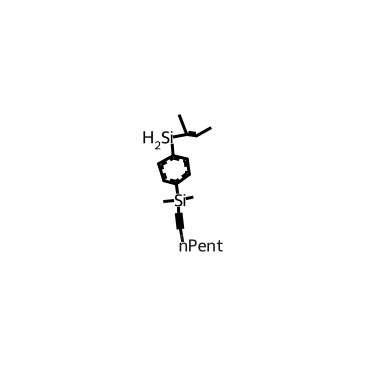 CC=C(C)[SiH2]c1ccc([Si](C)(C)C#CCCCCC)cc1